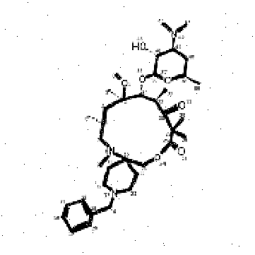 CO[C@]1(C)C[C@@H](C)CN(C)C2(CCN(Cc3ccccc3)CC2)COC(=O)C(C)(C)C(=O)[C@H](C)[C@H]1O[C@@H]1O[C@H](C)C[C@H](N(C)C)[C@H]1O